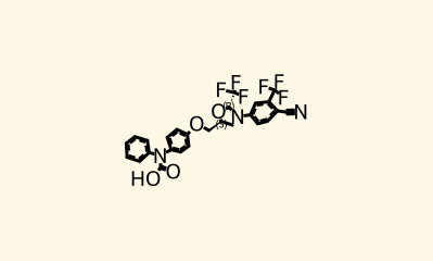 N#Cc1ccc(N2C[C@@H](COc3ccc(N(C(=O)O)c4ccccc4)cc3)O[C@@H]2C(F)(F)F)cc1C(F)(F)F